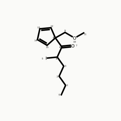 CCCCC(I)C(=O)C1(COC)C=CC=C1